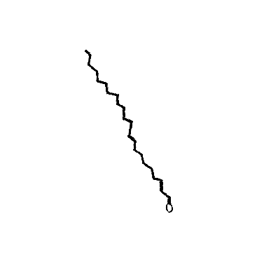 CCCCCCCCCCCCCCCCCCCC=CC=O